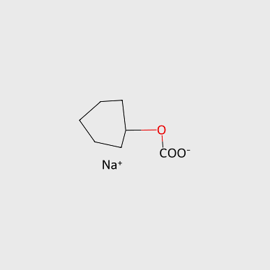 O=C([O-])OC1CCCCC1.[Na+]